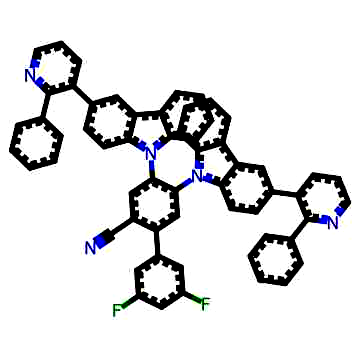 N#Cc1cc(-n2c3ccccc3c3cc(-c4cccnc4-c4ccccc4)ccc32)c(-n2c3ccccc3c3cc(-c4cccnc4-c4ccccc4)ccc32)cc1-c1cc(F)cc(F)c1